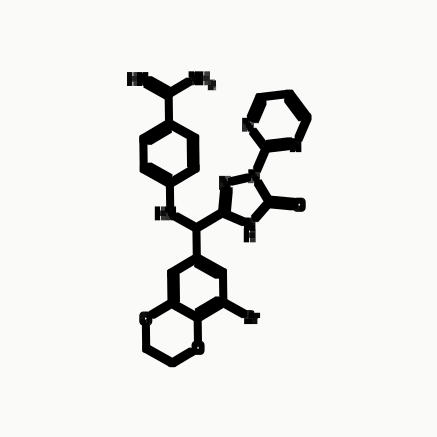 N=C(N)c1ccc(NC(c2cc(Br)c3c(c2)OCCO3)c2nn(-c3ncccn3)c(=O)[nH]2)cc1